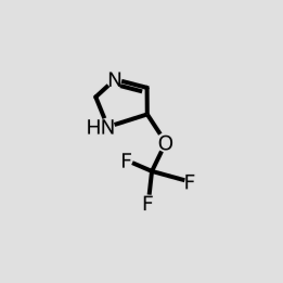 FC(F)(F)OC1C=NCN1